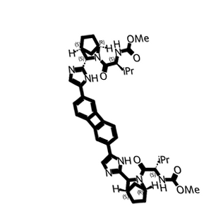 COC(=O)N[C@H](C(=O)N1C(c2ncc(-c3ccc4c(c3)-c3ccc(-c5cnc([C@@H]6[C@H]7CC[C@H](C7)N6C(=O)[C@@H](NC(=O)OC)C(C)C)[nH]5)cc3-4)[nH]2)[C@H]2CC[C@@H]1C2)C(C)C